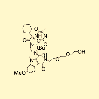 COc1ccc2c(C(=O)NCCOCCOCCO)c(C(=O)N3CCN(C(=O)[C@@H](NC(=O)[C@H](C)N(C)C(=O)OC(C)(C)C)C4CCCCC4)CC3)n(C)c2c1